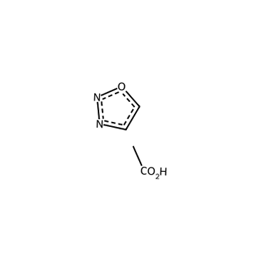 CC(=O)O.c1conn1